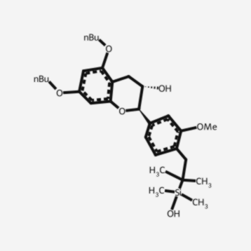 CCCCOc1cc(OCCCC)c2c(c1)O[C@H](c1ccc(CC(C)(C)[Si](C)(C)O)c(OC)c1)[C@@H](O)C2